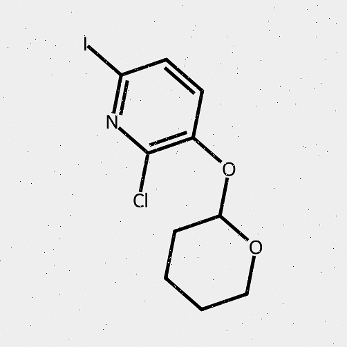 Clc1nc(I)ccc1OC1CCCCO1